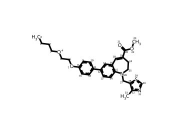 CCCCOCCOc1ccc(-c2ccc3c(c2)C=C(C(=O)OC)CCN3Cc2scnc2C)cc1